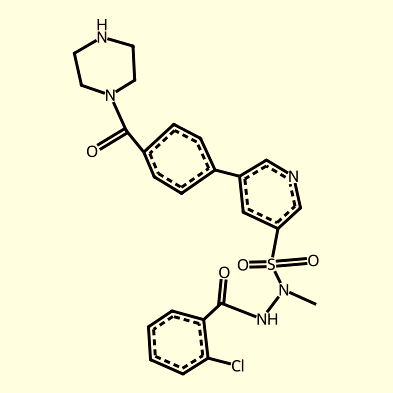 CN(NC(=O)c1ccccc1Cl)S(=O)(=O)c1cncc(-c2ccc(C(=O)N3CCNCC3)cc2)c1